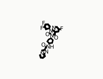 O=C(NC1CCC(n2c(=O)c3cc(F)cnc3n(-c3ccc(F)c(F)c3)c2=O)CC1)c1cn2ccccc2n1